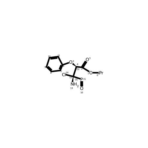 CC(C)OC(=O)[C@H](Oc1ccccc1)[C@@](N)(Cl)P=O